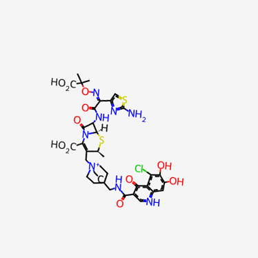 C[C@@H]1S[C@@H]2[C@H](NC(=O)/C(=N\OC(C)(C)C(=O)O)c3csc(N)n3)C(=O)N2C(C(=O)O)=C1C[N+]12CCC(CNC(=O)c3c[nH]c4cc(O)c(O)c(Cl)c4c3=O)(CC1)CC2